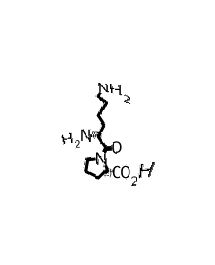 NCCCC[C@@H](N)C(=O)N1CCC[C@H]1C(=O)O